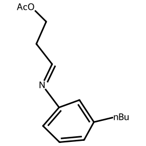 CCCCc1cccc(N=CCCOC(C)=O)c1